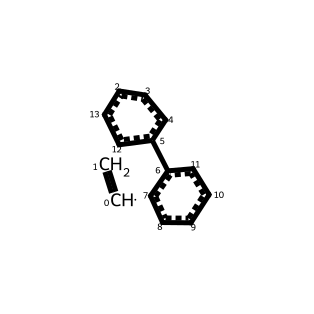 [CH]=C.c1ccc(-c2ccccc2)cc1